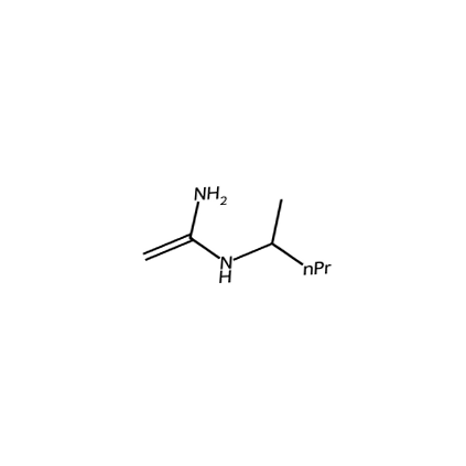 C=C(N)NC(C)CCC